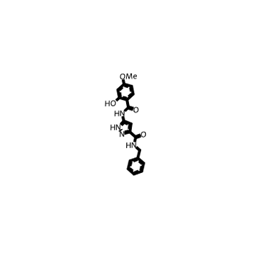 COc1ccc(C(=O)Nc2cc(C(=O)NCc3ccccc3)n[nH]2)c(O)c1